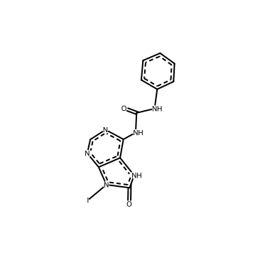 O=C(Nc1ccccc1)Nc1ncnc2c1[nH]c(=O)n2I